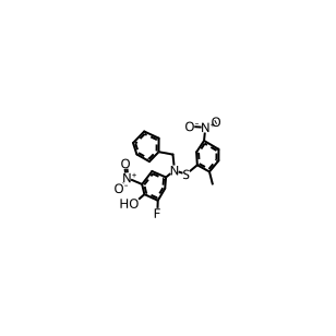 Cc1ccc([N+](=O)[O-])cc1SN(Cc1ccccc1)c1cc(F)c(O)c([N+](=O)[O-])c1